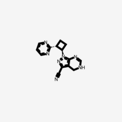 N#Cc1nn([C@@H]2CC[C@H]2c2ncccn2)c2c1CNC=N2